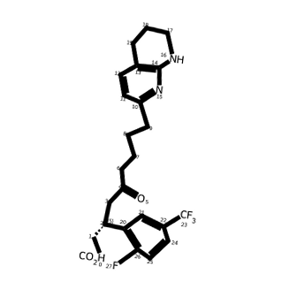 O=C(O)C[C@H](CC(=O)CCCCc1ccc2c(n1)NCCC2)c1cc(C(F)(F)F)ccc1F